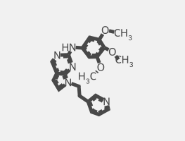 COc1cc(Nc2ncc3ccn(CCc4cccnc4)c3n2)cc(OC)c1OC